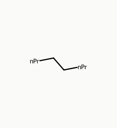 [CH]CCCCCC[CH]